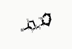 BrC1=NN(Cc2ccccn2)CS1